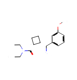 CCN(CC)C(=O)[C@@H]1CC[C@@H]1C(N)c1cccc(OC)c1